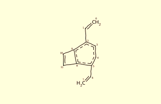 C=Cc1ccc(C=C)c2c1C=C2